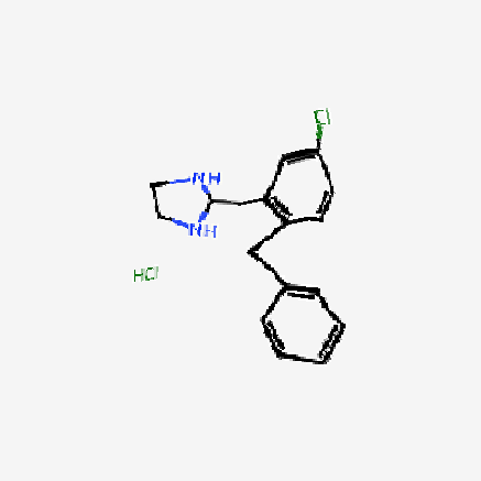 Cl.Clc1ccc(Cc2ccccc2)c(C2NCCN2)c1